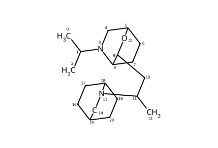 CC(C)N1CC2CCC1C(CC(C)N1CC3CCC1CC3)O2